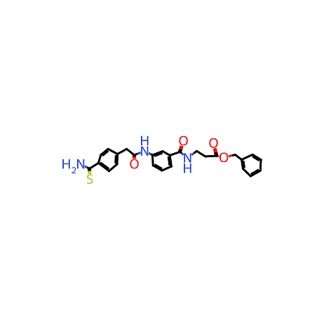 NC(=S)c1ccc(CC(=O)Nc2cccc(C(=O)NCCC(=O)OCc3ccccc3)c2)cc1